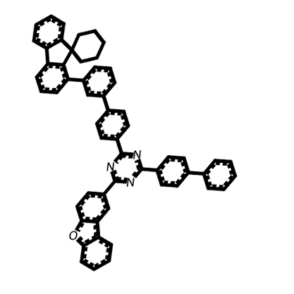 c1ccc(-c2ccc(-c3nc(-c4ccc(-c5cccc(-c6cccc7c6C6(CCCCC6)c6ccccc6-7)c5)cc4)nc(-c4ccc5oc6ccccc6c5c4)n3)cc2)cc1